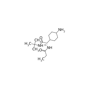 CCC(=O)N[C@H](C(=O)NC(C)(C)C)C1CCC(N)CC1